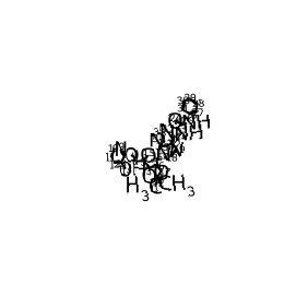 CC1(C)OC2C(COc3ncccc3O)OC(n3cnc4c(NC(=O)Nc5ccccc5)ncnc43)C2O1